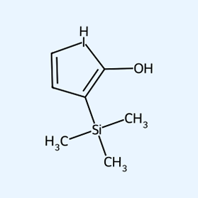 C[Si](C)(C)C1=C(O)[IH]C=C1